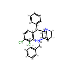 Clc1ccc(C(c2ccccc2)C2C(NCc3ccccc3)C3CCN2CC3)cc1Cl